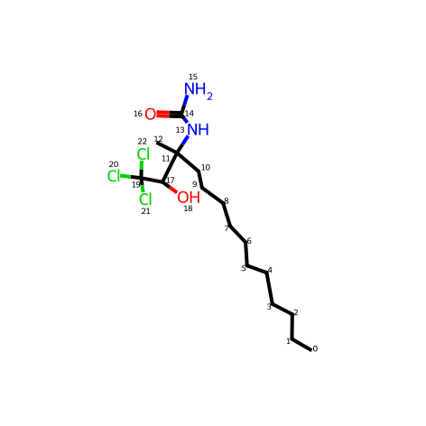 CCCCCCCCCCCC(C)(NC(N)=O)C(O)C(Cl)(Cl)Cl